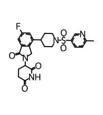 Cc1ccc(S(=O)(=O)N2CCC(c3cc(F)cc4c3CN(C3CCC(=O)NC3=O)C4=O)CC2)cn1